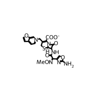 CO/N=C(\C(=O)NC1C(=O)N2C(C(=O)[O-])=C(C[n+]3ccc4ccoc4c3)CS[C@H]12)c1coc(N)n1